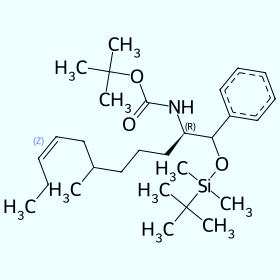 CC/C=C\CC(C)CCC[C@@H](NC(=O)OC(C)(C)C)C(O[Si](C)(C)C(C)(C)C)c1ccccc1